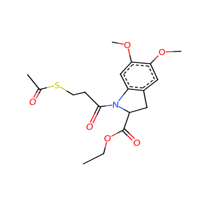 CCOC(=O)C1Cc2cc(OC)c(OC)cc2N1C(=O)CCSC(C)=O